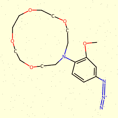 COc1cc(N=[N+]=[N-])ccc1N1CCOCCOCCOCCOCC1